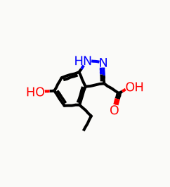 CCc1cc(O)cc2[nH]nc(C(=O)O)c12